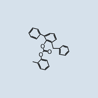 Cc1ccccc1OC(=O)Oc1c(Cc2ccccc2)cccc1-c1ccccc1